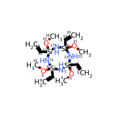 C=C[Si]1(OC)N[Si](C=C)(OC)N[Si](C=C)(OC)N[Si](C=C)(OC)N1